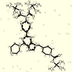 CC(C)(C)OC(=O)N1CCC(Cn2cnc3c(N4CCOCC4)nc(-c4cnc(N(C(=O)OC(C)(C)C)C(=O)OC(C)(C)C)nc4)nc32)CC1